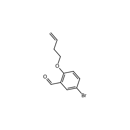 C=CCCOc1ccc(Br)cc1C=O